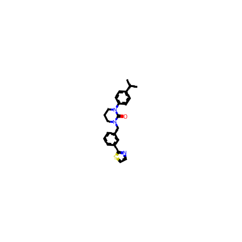 CC(C)c1ccc(N2CCCN(Cc3cccc(-c4nccs4)c3)C2=O)cc1